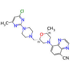 Cc1cc(Cl)nc(N2CCN(C[C@H]3CN(c4ccc(C#N)c5nccnc45)C[C@@H](C)O3)CC2)n1